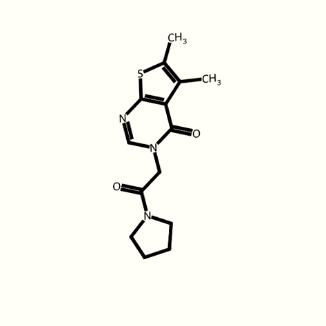 Cc1sc2ncn(CC(=O)N3CCCC3)c(=O)c2c1C